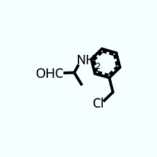 CC(N)C=O.ClCc1ccccc1